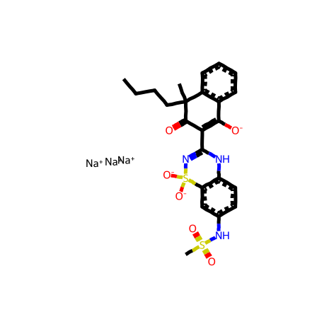 CCCCC1(C)C(=O)C(C2=NS([O-])([O-])c3cc(NS(C)(=O)=O)ccc3N2)=C([O-])c2ccccc21.[Na+].[Na+].[Na+]